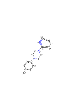 FC(F)(F)c1ccc(N2CCN(c3cc[c]cn3)CC2)cc1